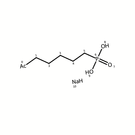 CC(=O)CCCCCP(=O)(O)O.[NaH]